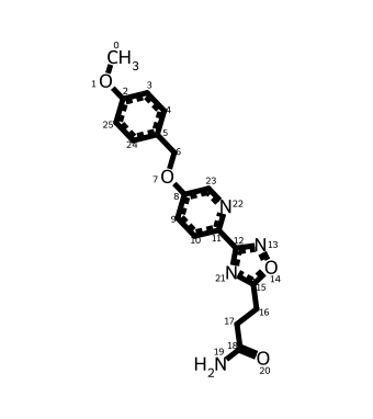 COc1ccc(COc2ccc(-c3noc(CCC(N)=O)n3)nc2)cc1